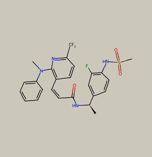 C[C@@H](NC(=O)/C=C\c1ccc(C(F)(F)F)nc1N(C)c1ccccc1)c1ccc(NS(C)(=O)=O)c(F)c1